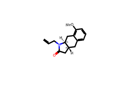 C=CCN1C(=O)C[C@H]2Cc3cccc(OC)c3C[C@@H]21